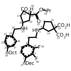 CCCCCCCCCCc1ccc(CCNC2CCC(C(=O)O)(C(=O)O)C2)c(F)c1F.CCCCCCCCc1ccc(CNC2CCC(C(=O)O)(C(=O)OC(C)C)C2)cc1